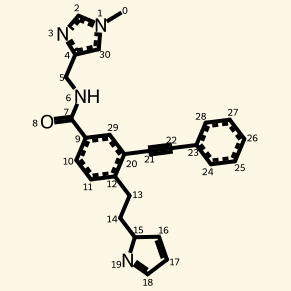 Cn1cnc(CNC(=O)c2ccc(CCC3C=CC=N3)c(C#Cc3ccccc3)c2)c1